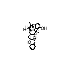 CN1CC[C@]23c4c5ccc(O)c4O[C@H]2[C@H](N[C@@H](Cc2ccccc2)C(=O)O)CC[C@@]3(O)[C@H]1C5